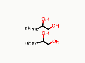 CCCCCC(O)CO.CCCCCCC(O)CO